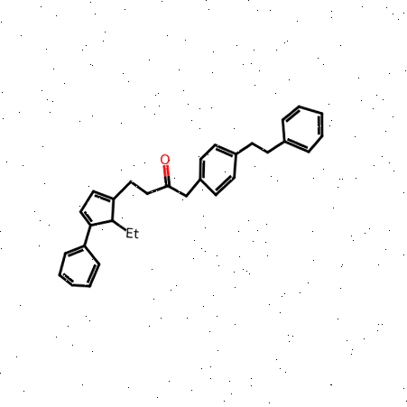 CCC1C(CCC(=O)Cc2ccc(CCc3ccccc3)cc2)=CC=C1c1ccccc1